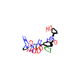 O=C(NCc1cccc(O)c1)c1ccc(C(=O)N[C@@H](CNC(=O)[C@H]2CCCN2)C(=O)O)c(Cl)c1